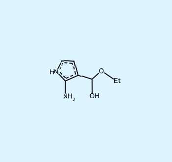 CCOC(O)c1cc[nH]c1N